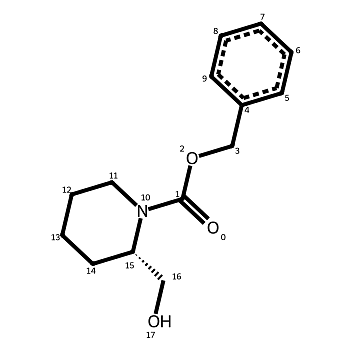 O=C(OCc1ccccc1)N1CCCC[C@H]1CO